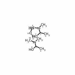 CC(O)N(C)C.CC(O)N(C)C.CCOCC